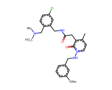 COc1cccc(CNn2ccc(C)c(CC(=O)NCc3cc(Cl)ccc3CN(C(=O)O)C(C)(C)C)c2=O)c1